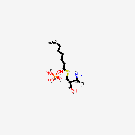 CCCCCCCCCCCCCCCCSCC(CO)C(C)N.O=P(O)(O)O